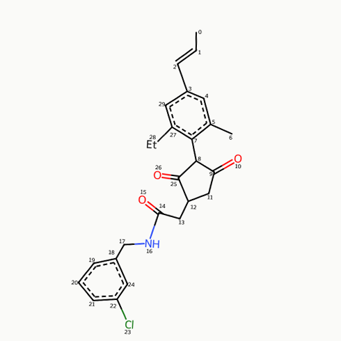 C/C=C/c1cc(C)c(C2C(=O)CC(CC(=O)NCc3cccc(Cl)c3)C2=O)c(CC)c1